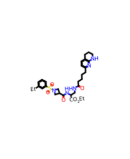 CCOC(=O)C(CNC(=O)CCCCc1ccc2c(n1)NCCC2)NC(=O)C1CN(S(=O)(=O)c2cccc(CC)c2)C1